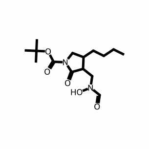 CCCCC1CN(C(=O)OC(C)(C)C)C(=O)C1CN(O)C=O